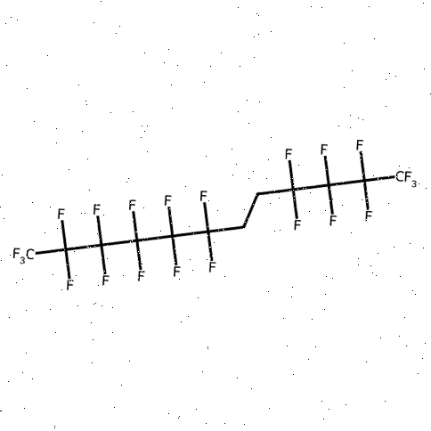 FC(F)(F)C(F)(F)C(F)(F)C(F)(F)CCC(F)(F)C(F)(F)C(F)(F)C(F)(F)C(F)(F)C(F)(F)F